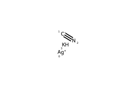 [Ag+].[C-]#N.[KH]